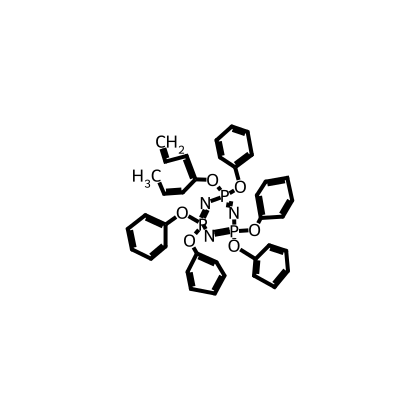 C=C/C=C(\C=C/C)OP1(Oc2ccccc2)=NP(Oc2ccccc2)(Oc2ccccc2)=NP(Oc2ccccc2)(Oc2ccccc2)=N1